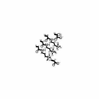 C=CC(=O)NCCC[N+](C)(C)C.C=CC(=O)NCCC[N+](C)(C)C.C=CC(=O)NCCC[N+](C)(C)C.C=CC(=O)[O-].C=CC(=O)[O-].[Cl-]